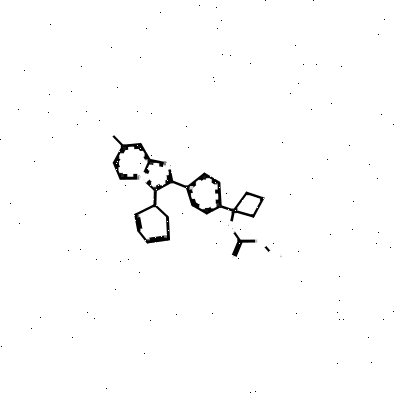 CC(C)(C)OC(=O)NC1(c2ccc(-c3nc4cc(F)ccn4c3C3C=CC=CC3)cc2)CCC1